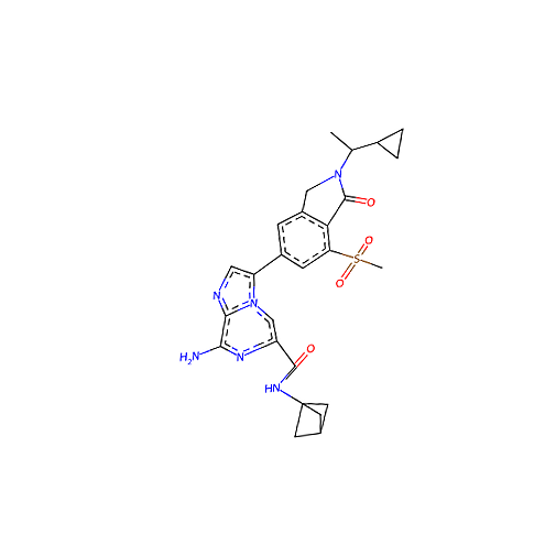 CC(C1CC1)N1Cc2cc(-c3cnc4c(N)nc(C(=O)NC56CC(C5)C6)cn34)cc(S(C)(=O)=O)c2C1=O